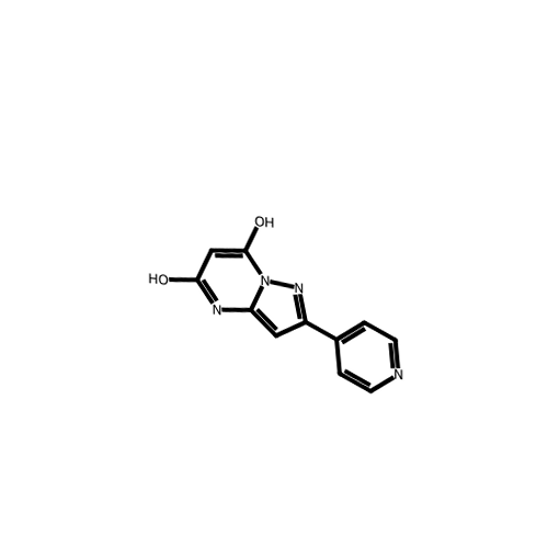 Oc1cc(O)n2nc(-c3ccncc3)cc2n1